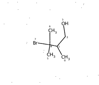 CC(CO)C(C)(C)Br